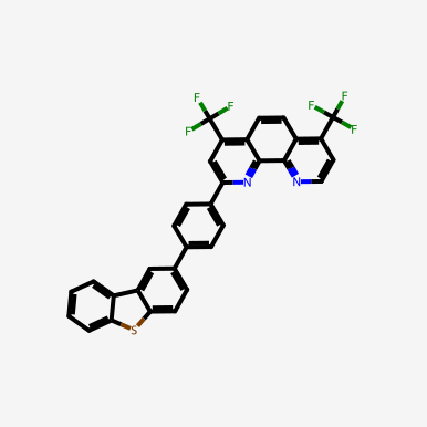 FC(F)(F)c1ccnc2c1ccc1c(C(F)(F)F)cc(-c3ccc(-c4ccc5sc6ccccc6c5c4)cc3)nc12